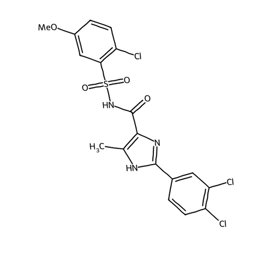 COc1ccc(Cl)c(S(=O)(=O)NC(=O)c2nc(-c3ccc(Cl)c(Cl)c3)[nH]c2C)c1